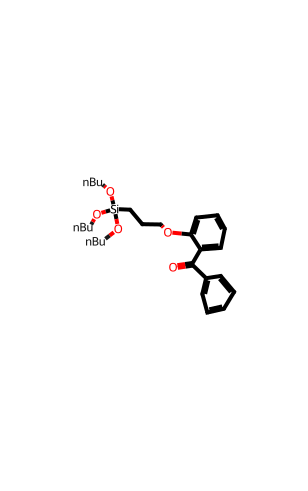 CCCCO[Si](CCCOc1ccccc1C(=O)c1ccccc1)(OCCCC)OCCCC